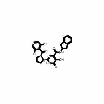 O=C(NC1Cc2ccccc2C1)c1nc([C@@H]2CCCN2C(=O)c2c(Cl)cncc2Cl)[nH]c(=O)c1O